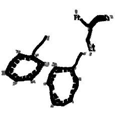 CCC(=O)CC.Cc1ccccc1.Cc1ccccc1